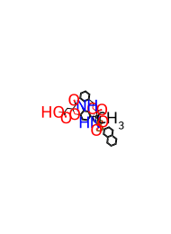 C[C@@](NS(=O)(=O)c1ccc2ccccc2c1)(C(=O)OCc1ccccc1)c1ccc2c(c1)NC(=O)C(CC(=O)O)O2